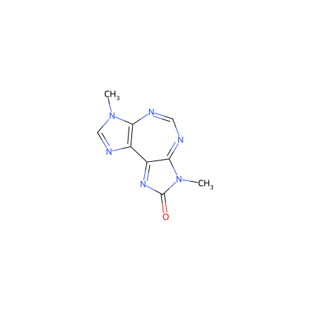 Cn1c2ncnc3c(ncn3C)c-2nc1=O